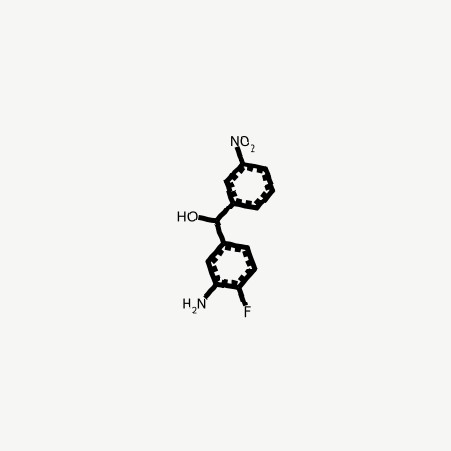 Nc1cc(C(O)c2cccc([N+](=O)[O-])c2)ccc1F